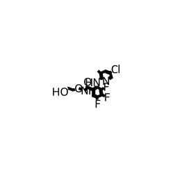 Cc1cc(Cl)cnc1Nc1c(C(=O)NOCCO)cc(F)c(F)c1F